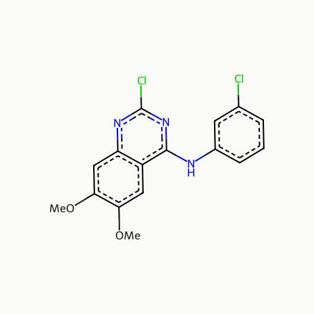 COc1cc2nc(Cl)nc(Nc3cccc(Cl)c3)c2cc1OC